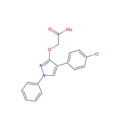 O=C(O)COc1nn(-c2ccccc2)cc1-c1ccc(Cl)cc1